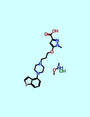 CNOC.Cl.Cn1nc(C(=O)O)cc1OCCCN1CCN(c2cccc3sccc23)CC1